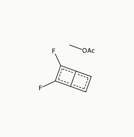 COC(C)=O.Fc1c2ccc-2c1F